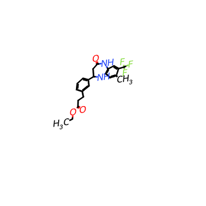 CCOC(=O)CCc1cccc(C2CC(=O)Nc3cc(C(F)(F)F)c(C)cc3N2)c1